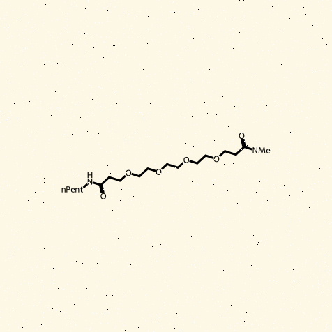 CCCCCNC(=O)CCOCCOCCOCCOCCC(=O)NC